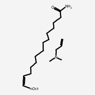 C=CCN(C)C.CCCCCCCC/C=C\CCCCCCCCCCCC(N)=O